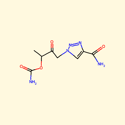 CC(OC(N)=O)C(=O)Cn1cc(C(N)=O)nn1